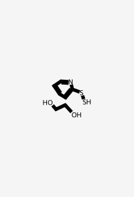 OCCO.SSc1ccccn1